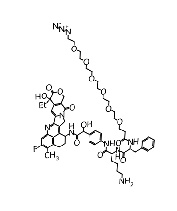 CC[C@@]1(O)C(=O)OCc2c1cc1n(c2=O)Cc2c-1nc1cc(F)c(C)c3c1c2[C@@H](NC(=O)C(O)c1ccc(NC(=O)[C@H](CCCCN)NC(=O)[C@H](Cc2ccccc2)NC(=O)CCOCCOCCOCCOCCOCCOCCN=[N+]=[N-])cc1)CC3